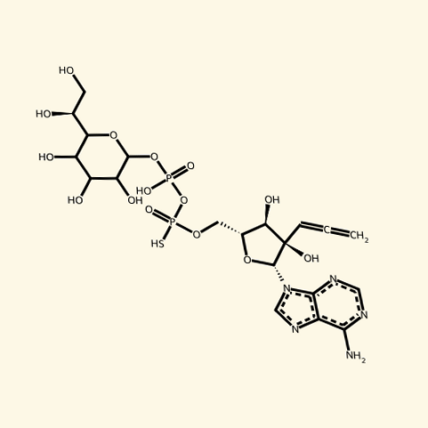 C=C=C[C@@]1(O)[C@H](O)[C@@H](COP(=O)(S)OP(=O)(O)OC2OC([C@@H](O)CO)C(O)C(O)C2O)O[C@H]1n1cnc2c(N)ncnc21